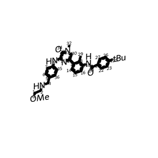 COCCNCc1ccc(Nc2nc(-c3cccc(NC(=O)c4ccc(C(C)(C)C)cc4)c3C)cn(C)c2=O)cc1